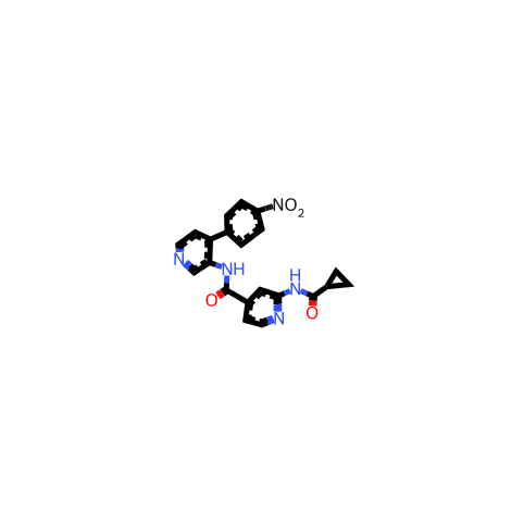 O=C(Nc1cnccc1-c1ccc([N+](=O)[O-])cc1)c1ccnc(NC(=O)C2CC2)c1